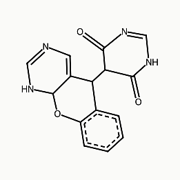 O=C1N=CNC(=O)C1C1C2=CN=CNC2Oc2ccccc21